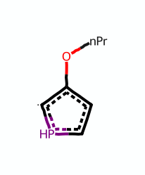 CCCOc1[c][pH]cc1